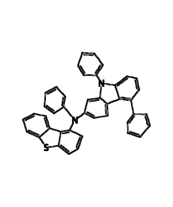 c1ccc(-c2cccc3c2c2ccc(N(c4ccccc4)c4cccc5sc6ccccc6c45)cc2n3-c2ccccc2)cc1